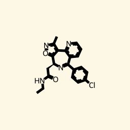 CCNC(=O)C[C@@H]1N=C(c2ccc(Cl)cc2)c2cccnc2-c2c(C)noc21